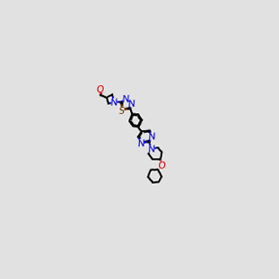 O=CC1CN(c2nnc(-c3ccc(-c4cnc(N5CCC(OC6CCCCC6)CC5)nc4)cc3)s2)C1